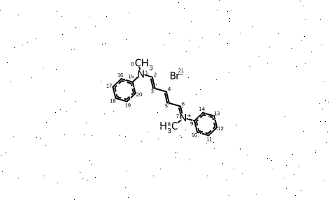 CN(/C=C/C=C/C=[N+](\C)c1ccccc1)c1ccccc1.[Br-]